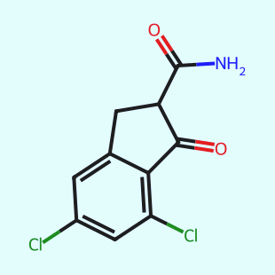 NC(=O)C1Cc2cc(Cl)cc(Cl)c2C1=O